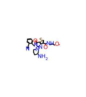 COCCCNC(=O)c1csc2c(=O)n(Cc3ccccc3C#N)c(N3CCC[C@@H](N)C3)nc12